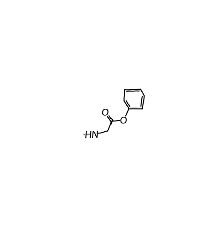 [NH]CC(=O)Oc1ccccc1